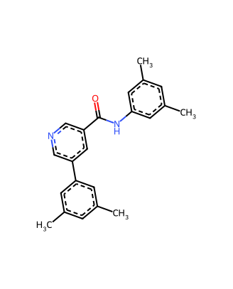 Cc1cc(C)cc(NC(=O)c2cncc(-c3cc(C)cc(C)c3)c2)c1